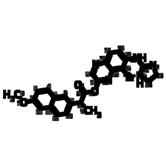 COc1ccc2cc([C@H](C)C(=O)Oc3cnc4ccc(NC5=NCCN5)c(Br)c4n3)ccc2c1